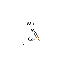 [Co].[Mo].[Ni].[S]=[W]